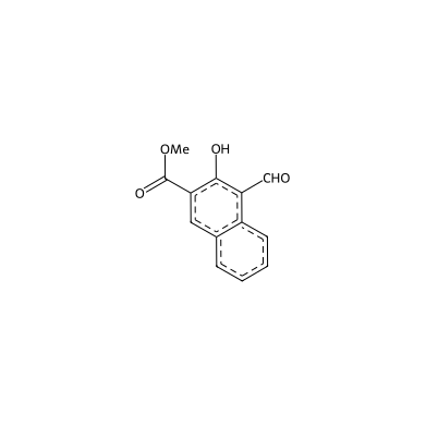 COC(=O)c1cc2ccccc2c(C=O)c1O